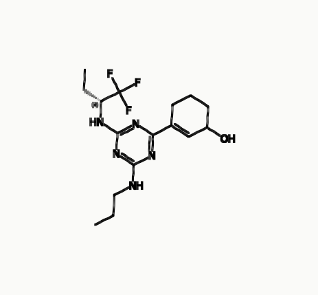 CCCNc1nc(N[C@H](CC)C(F)(F)F)nc(C2=CC(O)CCC2)n1